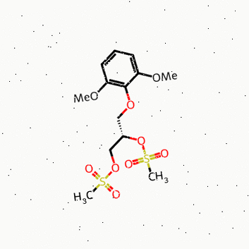 COc1cccc(OC)c1OC[C@@H](COS(C)(=O)=O)OS(C)(=O)=O